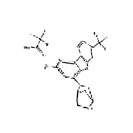 Nc1nc(N2CC3CC2CN3)c2sc3cc(C(F)(F)F)ccc3c2n1.O=C(O)C(F)(F)F